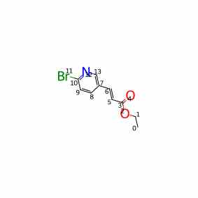 CCOC(=O)C=Cc1ccc(Br)nc1